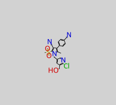 Cc1c(-c2ccc(C#N)cc2)c(C#N)c(S(C)(=O)=O)n1Cc1cnc(Cl)c(CO)c1